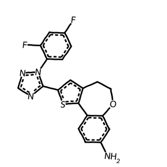 Nc1ccc2c(c1)OCCc1cc(-c3ncnn3-c3ccc(F)cc3F)sc1-2